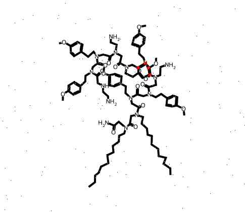 CCCCCCCCCCCCN(CC(N)=O)C(=O)CN(CCCCCCCCCCCC)C(=O)CN(CCc1ccc(OC)cc1)C(=O)CN(CCc1ccc(OC)cc1)C(=O)CN(CCN)C(=O)CN(CCc1ccc(OC)cc1)C(=O)CN(CCc1ccc(OC)cc1)C(=O)CN(CCN)C(=O)CN(CCc1ccc(OC)cc1)C(=O)CN(CCc1ccc(OC)cc1)C(=O)CNCCN